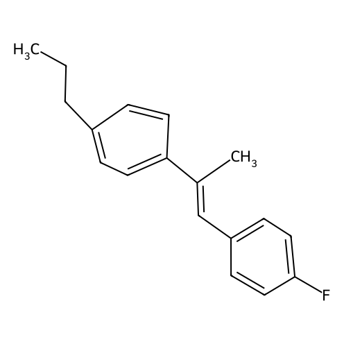 CCCc1ccc(/C(C)=C/c2ccc(F)cc2)cc1